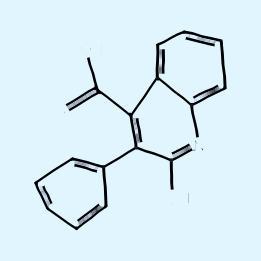 O=C(O)c1c(-c2ccccc2)c(O)nc2ccccc12